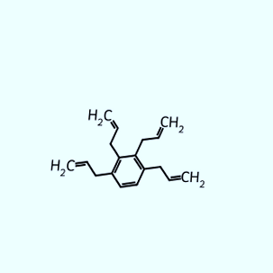 C=CCc1ccc(CC=C)c(CC=C)c1CC=C